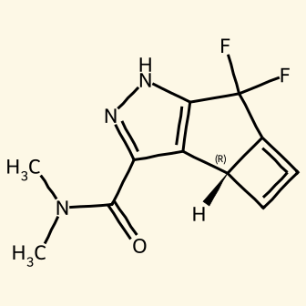 CN(C)C(=O)c1n[nH]c2c1[C@H]1C=C=C1C2(F)F